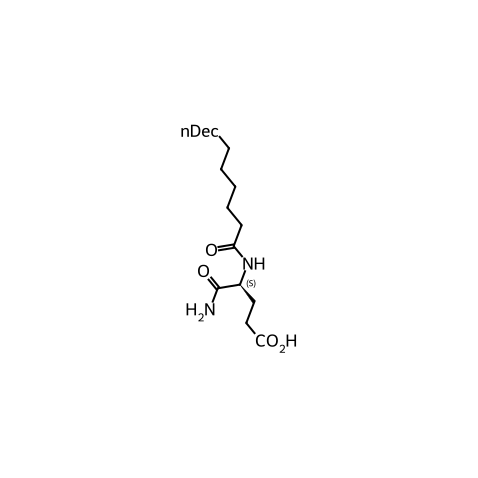 CCCCCCCCCCCCCCCC(=O)N[C@@H](CCC(=O)O)C(N)=O